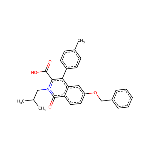 Cc1ccc(-c2c(C(=O)O)n(CC(C)C)c(=O)c3ccc(OCc4ccccc4)cc23)cc1